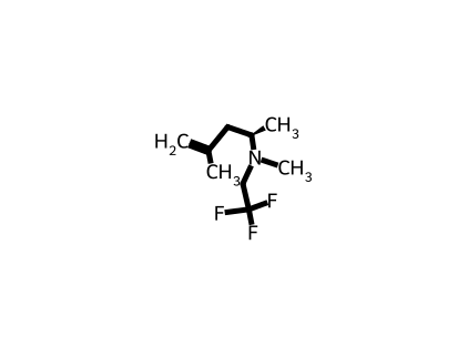 C=C(C)C[C@@H](C)N(C)CC(F)(F)F